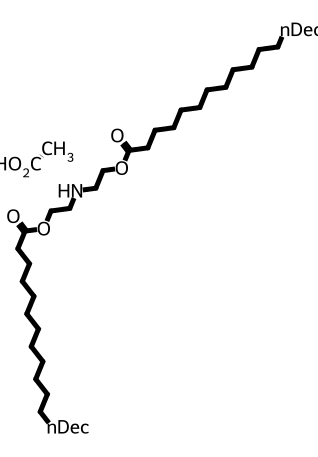 CC(=O)O.CCCCCCCCCCCCCCCCCCCCCC(=O)OCCNCCOC(=O)CCCCCCCCCCCCCCCCCCCCC